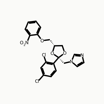 O=[N+]([O-])c1ccccc1OC[C@@H]1CO[C@@](Cn2ccnc2)(c2ccc(Cl)cc2Cl)O1